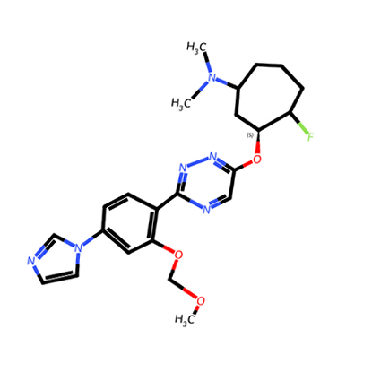 COCOc1cc(-n2ccnc2)ccc1-c1ncc(O[C@H]2CC(N(C)C)CCCC2F)nn1